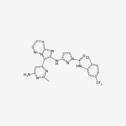 Cc1nc(N)cc(-c2c(Nc3ccn(C(=O)Nc4cc(C(F)(F)F)ccc4Cl)n3)nc3cccnn23)n1